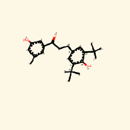 Cc1cc(O)cc(C(=O)CCc2cc(C(C)(C)C)c(O)c(C(C)(C)C)c2)c1